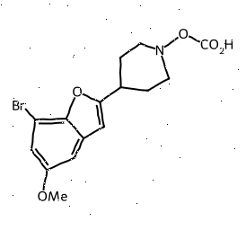 COc1cc(Br)c2oc(C3CCN(OC(=O)O)CC3)cc2c1